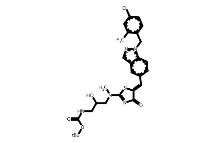 CN(CC(O)CNC(=O)OC(C)(C)C)C1=NC(=O)C(=Cc2ccc3c(cnn3Cc3ccc(Cl)cc3C(F)(F)F)c2)S1